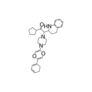 O=C(C1CCCC1)C(C1CCc2ccccc2N1)N1CCN(C2=COC(C3=CC=CCC3)=CO2)CC1